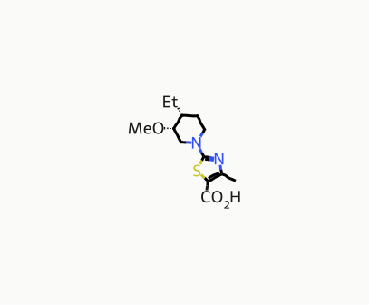 CC[C@@H]1CCN(c2nc(C)c(C(=O)O)s2)C[C@@H]1OC